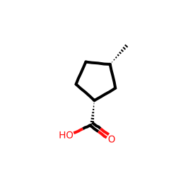 C[C@H]1CC[C@@H](C(=O)O)C1